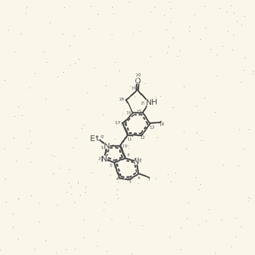 CCn1nc2ccc(C)nc2c1-c1cc(C)c2c(c1)CC(=O)N2